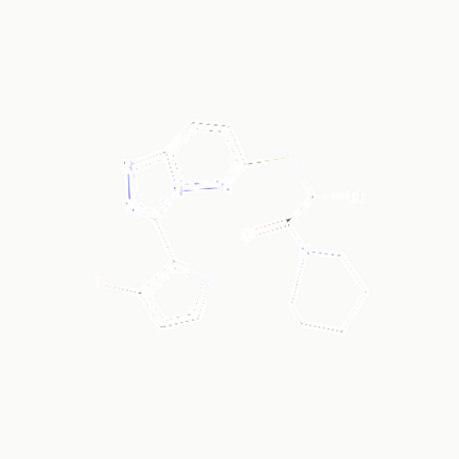 CC[C@@H](Sc1ccc2nnc(-c3sccc3F)n2n1)C(=O)N1CCCCC1